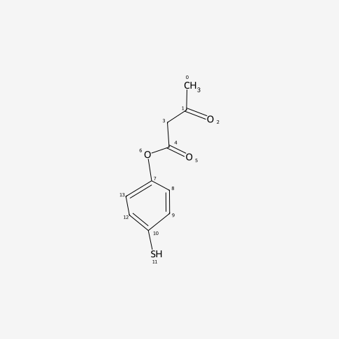 CC(=O)CC(=O)Oc1ccc(S)cc1